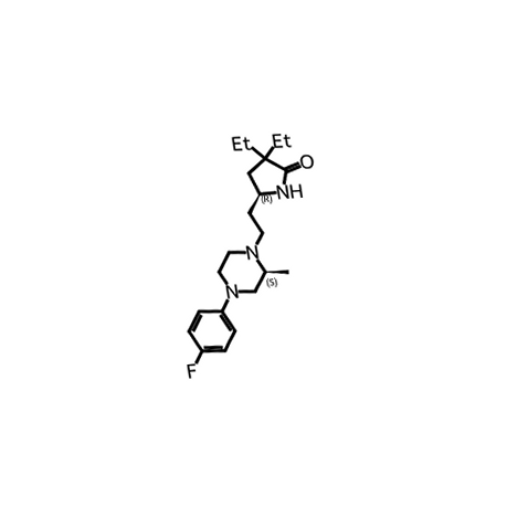 CCC1(CC)C[C@H](CCN2CCN(c3ccc(F)cc3)C[C@@H]2C)NC1=O